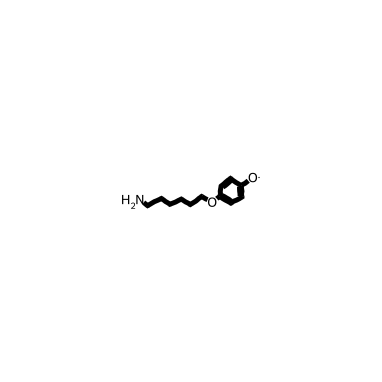 NCCCCCCOc1ccc([O])cc1